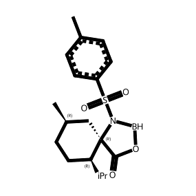 Cc1ccc(S(=O)(=O)N2BOC(=O)[C@]23C[C@H](C)CC[C@@H]3C(C)C)cc1